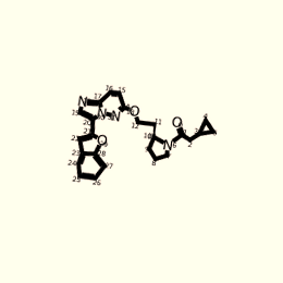 O=C(CC1CC1)N1CCC[C@H]1CCOc1ccc2ncc(-c3cc4ccccc4o3)n2n1